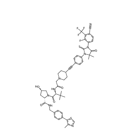 Cc1ncsc1-c1ccc(CNC(=O)[C@@H]2C[C@@H](O)CN2C(=O)[C@@H](NC(=O)CN2CCC(C#Cc3ccc(N4C(=S)N(c5ccc(C#N)c(C(F)(F)F)c5F)C(=O)C4(C)C)cc3)CC2)C(C)(C)C)cc1